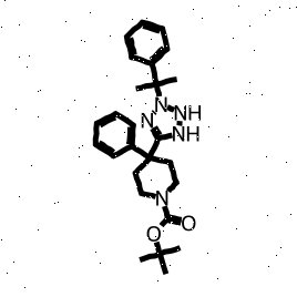 CC(C)(C)OC(=O)N1CCC(C2=NN(C(C)(C)c3ccccc3)NN2)(c2ccccc2)CC1